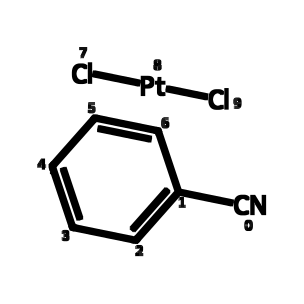 N#Cc1cc[c]cc1.[Cl][Pt][Cl]